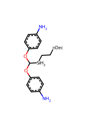 CCCCCCCCCCCC[SiH2]C(Oc1ccc(N)cc1)Oc1ccc(N)cc1